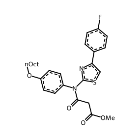 CCCCCCCCOc1ccc(N(C(=O)CC(=O)OC)c2nc(-c3ccc(F)cc3)cs2)cc1